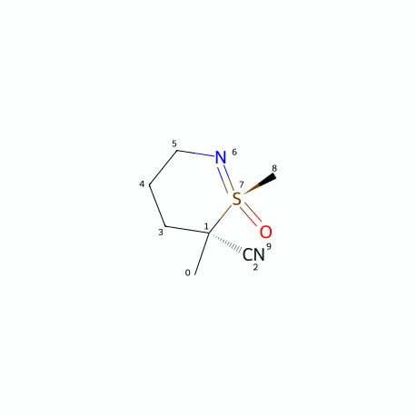 C[C@@]1(C#N)CCCN=[S@]1(C)=O